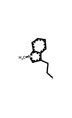 Cn1cc(CCI)c2ccccc21